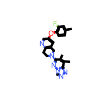 Cc1ccc(Oc2cnc3c(c2)CN(c2nn4cnnc4c(C)c2C)CC3)c(F)c1